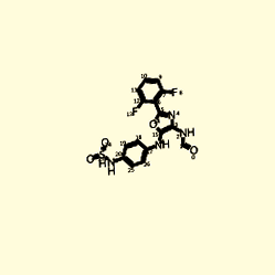 O=CNc1nc(-c2c(F)cccc2F)oc1Nc1ccc(N[SH](=O)=O)cc1